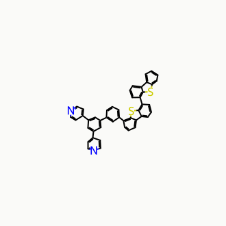 c1cc(-c2cc(-c3ccncc3)cc(-c3ccncc3)c2)cc(-c2cccc3c2sc2c(-c4cccc5c4sc4ccccc45)cccc23)c1